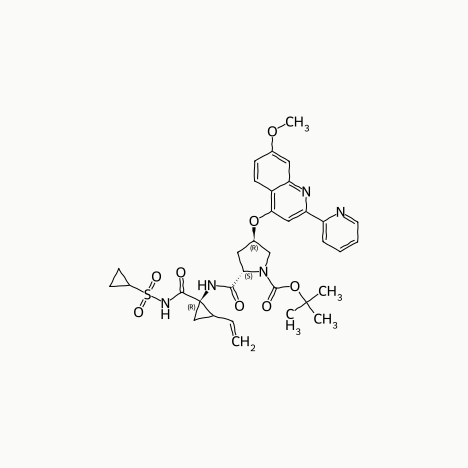 C=CC1C[C@]1(NC(=O)[C@@H]1C[C@@H](Oc2cc(-c3ccccn3)nc3cc(OC)ccc23)CN1C(=O)OC(C)(C)C)C(=O)NS(=O)(=O)C1CC1